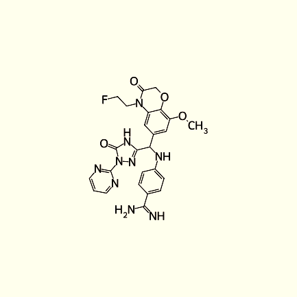 COc1cc(C(Nc2ccc(C(=N)N)cc2)c2nn(-c3ncccn3)c(=O)[nH]2)cc2c1OCC(=O)N2CCF